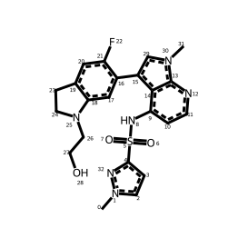 Cn1ccc(S(=O)(=O)Nc2ccnc3c2c(-c2cc4c(cc2F)CCN4CCO)cn3C)n1